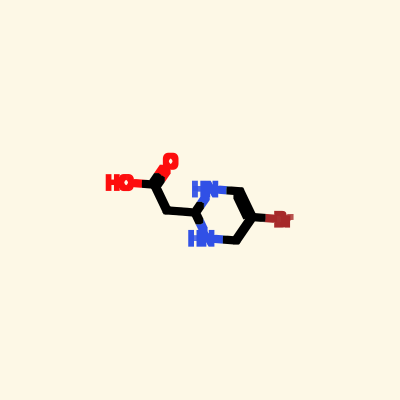 O=C(O)CC1NC=C(Br)CN1